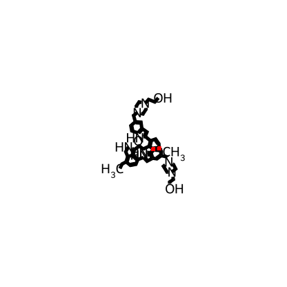 CCc1ccc(-c2cc3cc(CN4CCN(CCO)CC4)ccc3[nH]2)c2c1CNC2C(=O)C1NCc2c(CC)ccc(-c3cc4cc(CN5CCN(CCO)CC5)ccc4[nH]3)c21